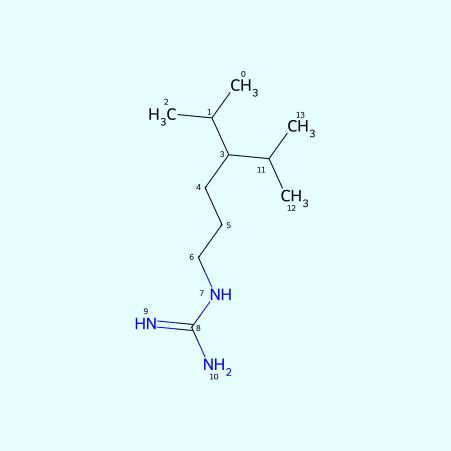 CC(C)C(CCCNC(=N)N)C(C)C